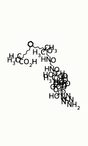 CC(C)(CCCCCc1ccccc1CCCCC(C)(C)C(=O)CCNC(=O)CCNC(=O)C(O)C(C)(C)COP(=O)(O)OP(=O)(O)OCC1OC(n2cnc3c(N)ncnc32)C(O)C1OP(=O)(O)O)C(=O)O